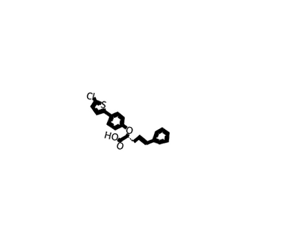 O=C(O)[C@@H](CC=Cc1ccccc1)Oc1ccc(-c2ccc(Cl)s2)cc1